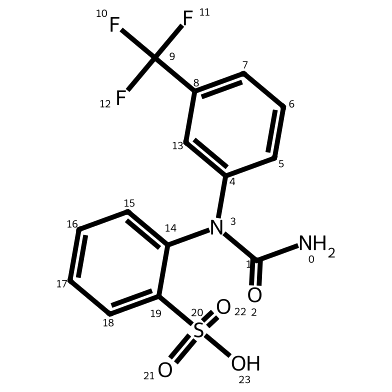 NC(=O)N(c1cccc(C(F)(F)F)c1)c1ccccc1S(=O)(=O)O